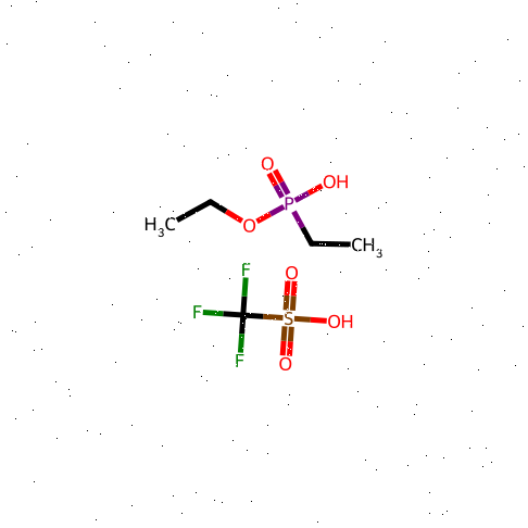 CCOP(=O)(O)CC.O=S(=O)(O)C(F)(F)F